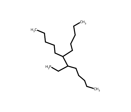 CCCCCC(CP)C(CCCCC)CCCCC